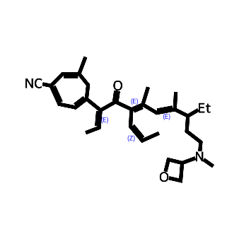 C\C=C/C(C(=O)/C(=C/C)C1=CC=C(C#N)C=C(C)C1)=C(C)\C=C(/C)C(CC)CCN(C)C1COC1